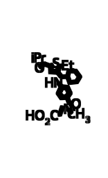 CCc1sc(C(=O)C(C)C)cc1C(Nc1ccc(C(=O)N(C)CCC(=O)O)cc1)C1CCCCC1